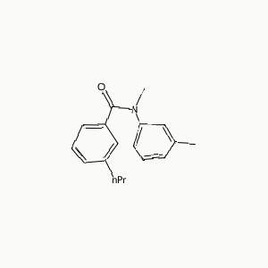 CCCc1cccc(C(=O)N(C)c2cccc(C)c2)c1